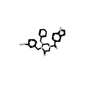 COc1cccc(CN2C(=O)CN(C(=O)c3ccc4[nH]ccc4c3)C[C@@H]2CC2=CCCC=C2)c1